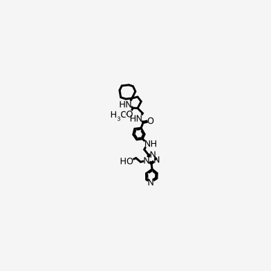 COC1NC2(CCCCCCC2)CCC1CNC(=O)c1cccc(NCc2nnc(-c3ccncc3)n2CCO)c1